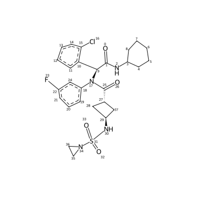 O=C(NC1CCCCC1)[C@H](c1ccccc1Cl)N(c1cccc(F)c1)C(=O)[C@H]1C[C@H](NS(=O)(=O)N2CC2)C1